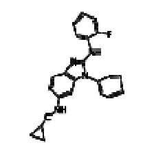 Fc1ccccc1Nc1nc2ccc(NCC3CC3)cc2n1-c1ccccc1